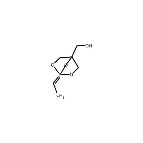 CC=P12OCC(CO)(CO1)CO2